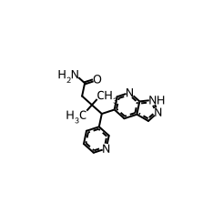 CC(C)(CC(N)=O)C(c1cccnc1)c1cnc2[nH]ncc2c1